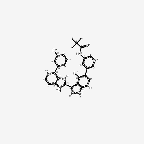 CC(C)(C)C(=O)Nc1cncc(-c2cnc3[nH]nc(-c4nc5c(-c6cccc(F)c6)nccc5[nH]4)c3c2F)c1